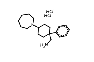 Cl.Cl.NC[C@]1(c2ccccc2)CC[C@H](N2CCCCCC2)CC1